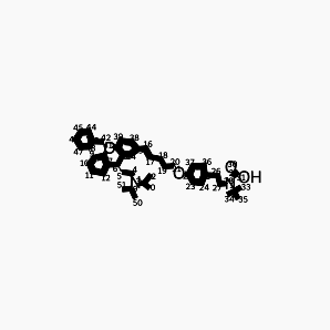 CC(C)N(CC[C@H](c1ccccc1)c1cc(C=CCCCOc2ccc(CCN(C(=O)O)C(C)(C)C)cc2)ccc1OCc1ccccc1)C(C)C